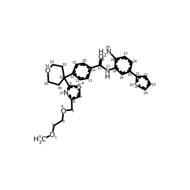 COCCOCc1csc(C2(c3ccc(C(=O)Nc4cc(-c5cccs5)ccc4N)cc3)CCOCC2)n1